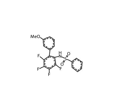 COc1cccc(-c2c(F)c(F)c(F)c(F)c2NS(=O)(=O)c2ccccc2)c1